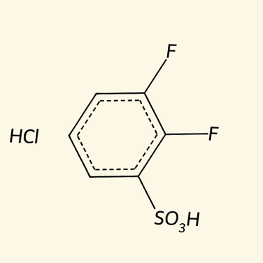 Cl.O=S(=O)(O)c1cccc(F)c1F